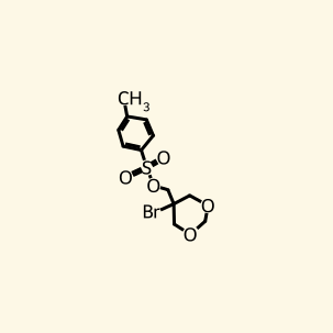 Cc1ccc(S(=O)(=O)OCC2(Br)COCOC2)cc1